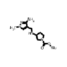 Cn1cc(CNC2CCN(C(=O)OC(C)(C)C)C2)c(N)n1